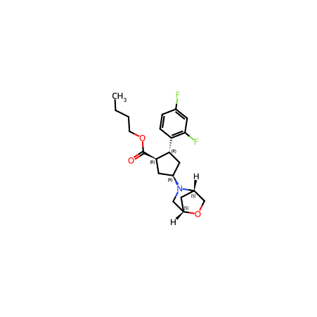 CCCCOC(=O)[C@@H]1C[C@H](N2C[C@@H]3C[C@H]2CO3)C[C@H]1c1ccc(F)cc1F